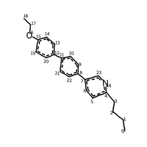 CCCCc1ccc(-c2ccc(-c3ccc(OCC)cc3)cc2)cn1